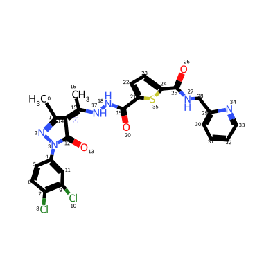 CC1=NN(c2ccc(Cl)c(Cl)c2)C(=O)/C1=C(/C)NNC(=O)c1ccc(C(=O)NCc2ccccn2)s1